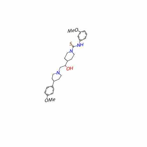 COc1ccc(C2CCN(CC(O)C3CCN(C(=S)Nc4cccc(OC)c4)CC3)CC2)cc1